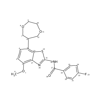 COc1ccc(C2COCCOC2)c2sc(NC(=O)c3ccc(F)cc3)nc12